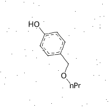 CCCOCc1ccc(O)cc1